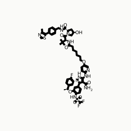 Cc1ncsc1-c1ccc(CNC(=O)[C@@H]2C[C@@H](O)CN2C(=O)[C@@H](NC(=O)CCCCCCOc2ccc(Nc3[nH]nc(-c4ccc(NS(=O)(=O)C(F)F)c(O[C@@H](C)c5ccc(F)cc5)c4)c3C(N)=O)nc2)C(C)(C)C)cc1